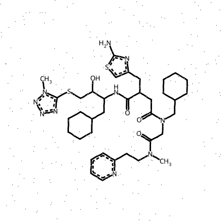 CN(CCc1ccccn1)C(=O)CN(CC1CCCCC1)C(=O)CC(Cc1csc(N)n1)C(=O)NC(CC1CCCCC1)C(O)CSc1nnnn1C